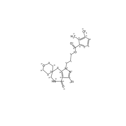 CCc1nn(CCCOC(=O)c2cccc(C(F)(F)F)c2C)c2c1C(=O)NCC1(CCOCC1)C2